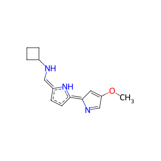 COC1=CC(=c2ccc(=CNC3CCC3)[nH]2)N=C1